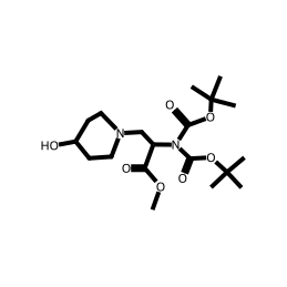 COC(=O)C(CN1CCC(O)CC1)N(C(=O)OC(C)(C)C)C(=O)OC(C)(C)C